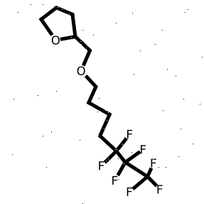 FC(F)(F)C(F)(F)C(F)(F)CCCCOCC1CCCO1